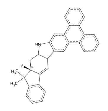 CC1(C)c2ccccc2C2=CC3c4cc5c6ccccc6c6ccccc6c5cc4NC3C[C@H]21